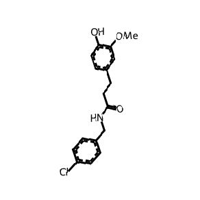 COc1cc(CCC(=O)NCc2ccc(Cl)cc2)ccc1O